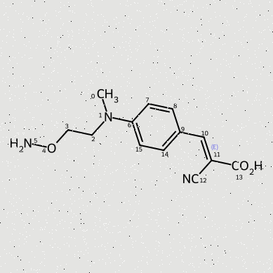 CN(CCON)c1ccc(/C=C(\C#N)C(=O)O)cc1